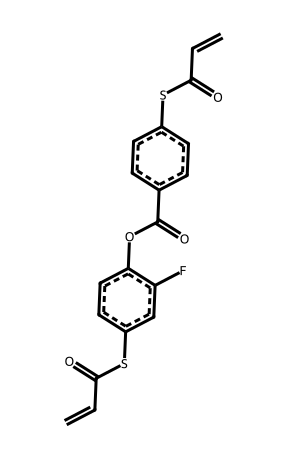 C=CC(=O)Sc1ccc(C(=O)Oc2ccc(SC(=O)C=C)cc2F)cc1